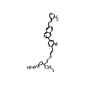 C=CCc1ccc2cc(-c3ccc(/C=C/CCCC(C)OCCCCC)c(F)c3)ncc2c1